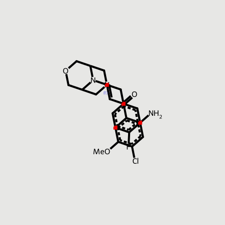 COc1cc(C(=O)/C=C/N2C3COCC2CN(Cc2ccc(F)cc2)C3)c(N)cc1Cl